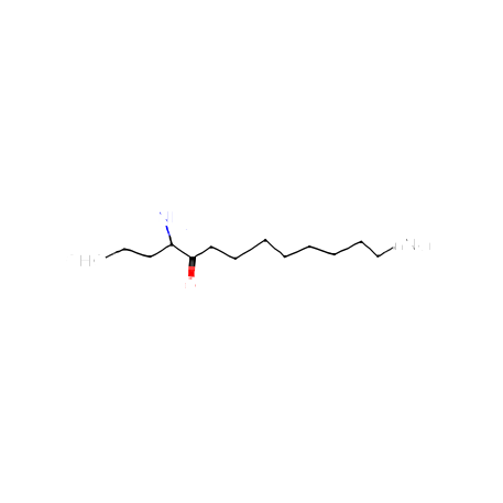 CCCCCCCCCCCCCCCCCC(=O)C(N)CCC=O